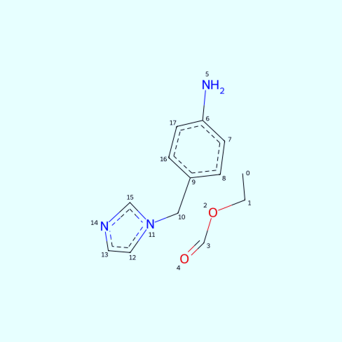 CCOC=O.Nc1ccc(Cn2ccnc2)cc1